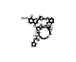 CCOP(=O)(Cc1c(F)cccc1F)[C@@]12C[C@H]1/C=C\CCCC[C@@H](C)[C@H](NC(=O)OC1CCCC1)C(=O)N1C[C@H](Oc3cc(-c4csc(NC(C)C)n4)nc4c(Cl)c(OC)ccc34)C[C@H]1C(=O)N2